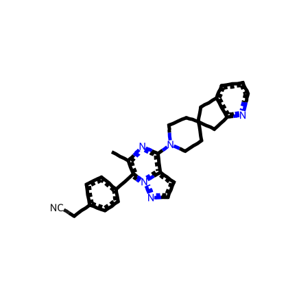 Cc1nc(N2CCC3(CC2)Cc2cccnc2C3)c2ccnn2c1-c1ccc(CC#N)cc1